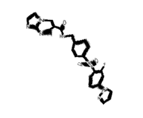 O=C(NCc1ccc(S(=O)(=O)c2ccc(-n3cccn3)cc2F)cc1)c1cnc2nccn2c1